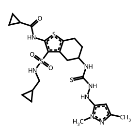 Cc1cc(NNC(=S)NC2CCc3sc(NC(=O)C4CC4)c(S(=O)(=O)NCC4CC4)c3C2)n(C)n1